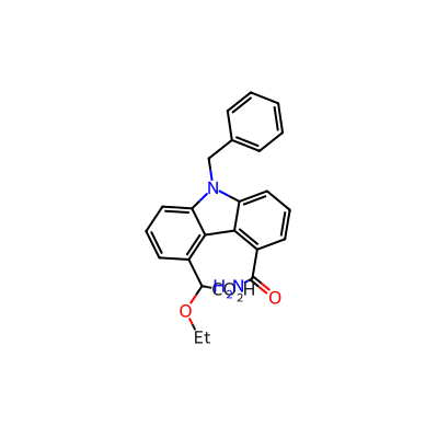 CCOC(C(=O)O)c1cccc2c1c1c(C(N)=O)cccc1n2Cc1ccccc1